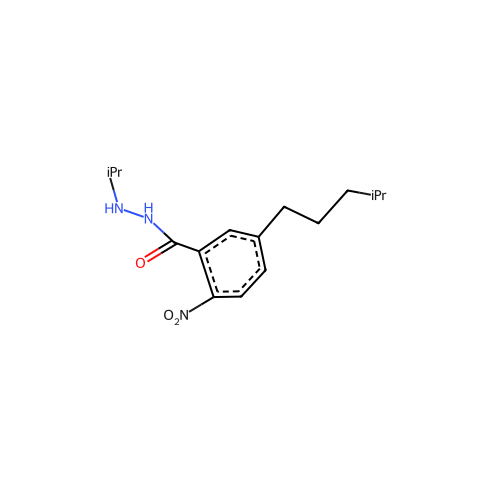 CC(C)CCCc1ccc([N+](=O)[O-])c(C(=O)NNC(C)C)c1